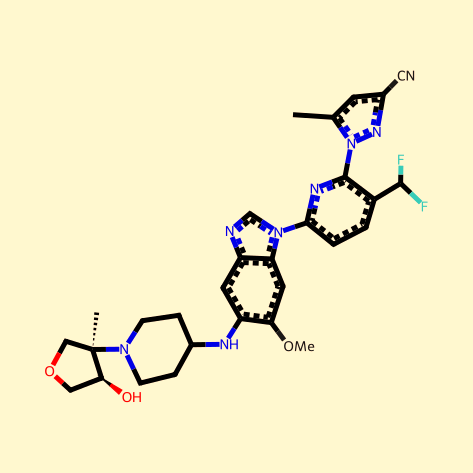 COc1cc2c(cc1NC1CCN([C@]3(C)COC[C@@H]3O)CC1)ncn2-c1ccc(C(F)F)c(-n2nc(C#N)cc2C)n1